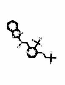 [2H]C([2H])([2H])c1c(OCC(F)(F)F)ccnc1C[S+]([O-])c1nc2ccccc2[nH]1